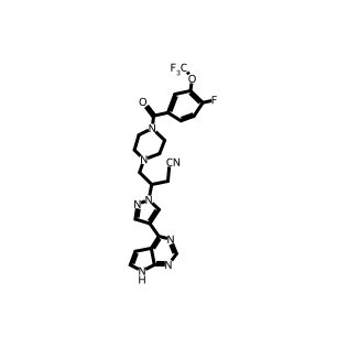 N#CCC(CN1CCN(C(=O)c2ccc(F)c(OC(F)(F)F)c2)CC1)n1cc(-c2ncnc3[nH]ccc23)cn1